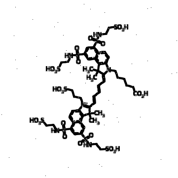 CC1(C)C(/C=C/C=C/C=C2/N(CCCCCC(=O)O)c3ccc4c(S(=O)(=O)NCCS(=O)(=O)O)cc(S(=O)(=O)NCCS(=O)(=O)O)cc4c3C2(C)C)=[N+](CCCS(=O)(=O)O)c2ccc3c(S(=O)(=O)NCCS(=O)(=O)O)cc(S(=O)(=O)NCCS(=O)(=O)O)cc3c21